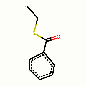 [CH2]CSC(=O)c1ccccc1